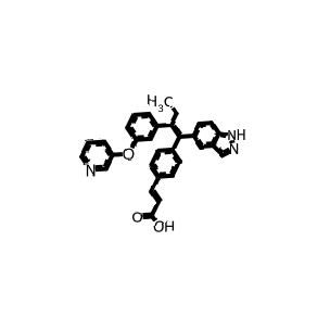 CC/C(=C(/c1ccc(/C=C/C(=O)O)cc1)c1ccc2[nH]ncc2c1)c1cccc(Oc2cccnc2)c1